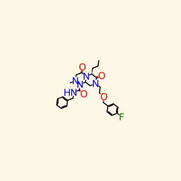 CCC[C@H]1C(=O)N(CCOCc2ccc(F)cc2)CC2N1C(=O)CN(C)N2C(=O)NCc1ccccc1